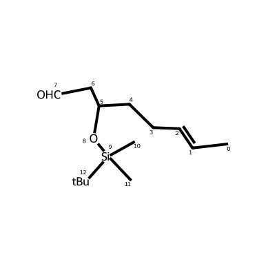 CC=CCCC(CC=O)O[Si](C)(C)C(C)(C)C